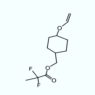 C=COC1CCC(COC(=O)C(C)(F)F)CC1